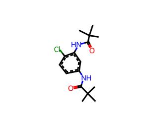 CC(C)(C)C(=O)Nc1ccc(Cl)c(NC(=O)C(C)(C)C)c1